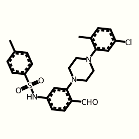 Cc1ccc(S(=O)(=O)Nc2ccc(C=O)c(N3CCN(c4cc(Cl)ccc4C)CC3)c2)cc1